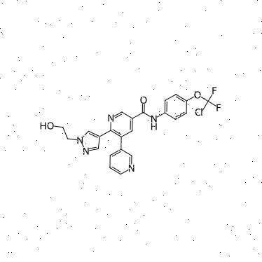 O=C(Nc1ccc(OC(F)(F)Cl)cc1)c1cnc(-c2cnn(CCO)c2)c(-c2cccnc2)c1